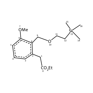 CCOC(=O)Cc1cccc(OC)c1COCC[Si](C)(C)C